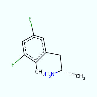 Cc1c(F)cc(F)cc1C[C@H](C)N